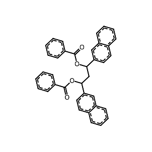 O=C(OC(CC(OC(=O)c1ccccc1)c1ccc2ccccc2c1)c1ccc2ccccc2c1)c1ccccc1